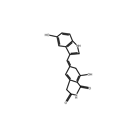 O=C1CC2=CC(=Cc3c[nH]c4ccc(O)cc34)CC(O)=C2C(=O)N1